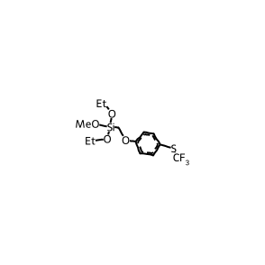 CCO[Si](COc1ccc(SC(F)(F)F)cc1)(OC)OCC